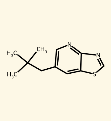 CC(C)(C)Cc1cnc2ncsc2c1